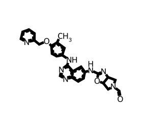 Cc1cc(Nc2ncnc3ccc(NC4=NC5CN(C=O)CC5O4)cc23)ccc1OCc1ccccn1